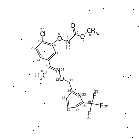 COC(=O)NOc1cc(C(C)=NOCc2cccc(C(F)(F)F)n2)ccc1Cl